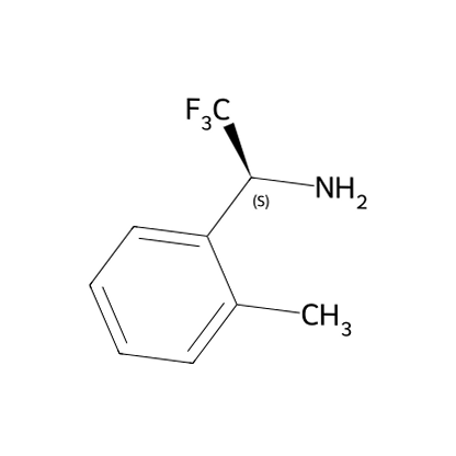 Cc1ccccc1[C@H](N)C(F)(F)F